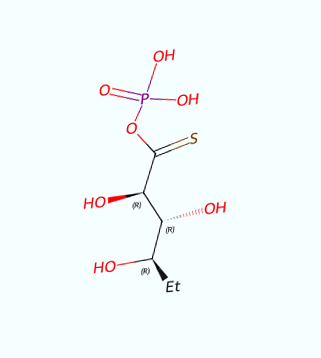 CC[C@@H](O)[C@@H](O)[C@@H](O)C(=S)OP(=O)(O)O